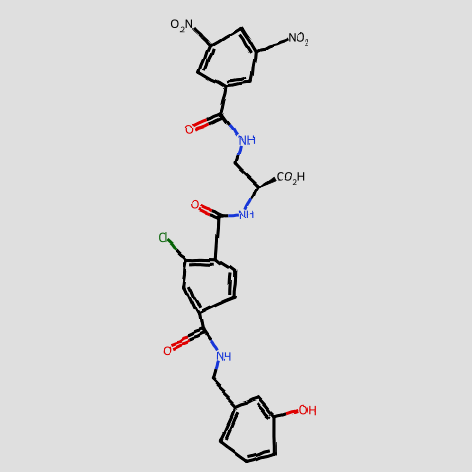 O=C(NCc1cccc(O)c1)c1ccc(C(=O)N[C@@H](CNC(=O)c2cc([N+](=O)[O-])cc([N+](=O)[O-])c2)C(=O)O)c(Cl)c1